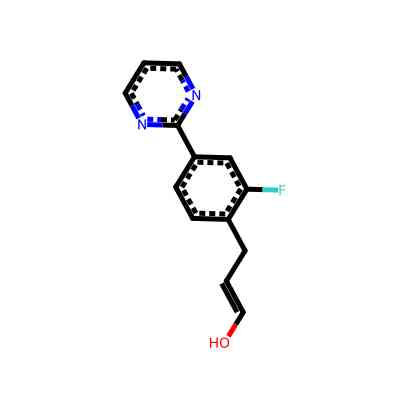 O/C=C/Cc1ccc(-c2ncccn2)cc1F